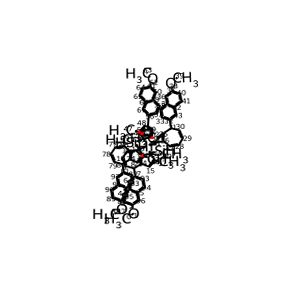 COc1ccc2cc(C3C=CC=CC4=C3C=C(C)[C]43[SiH](C)[C]4(C(C)=CC5=C4C=CC=CC5c4ccc5cc(OC)ccc5c4)[Hf]34[C]3(C(C)=CC5=C3C=CC=CC5c3ccc5cc(OC)ccc5c3)[SiH](C)[C]43C(C)=CC4=C3C=CC=CC4c3ccc4cc(OC)ccc4c3)ccc2c1